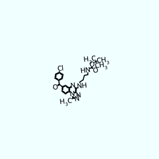 Cc1nnc2c(NCCCCNC(=O)OC(C)(C)C)nc3cc(C(=O)c4ccc(Cl)cc4)ccc3n12